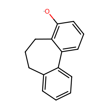 [O]c1cccc2c1CCCc1ccccc1-2